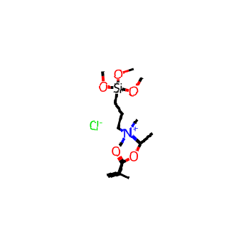 C=C(C)C(=O)OC(C)[N+](C)(C)CCC[Si](OC)(OC)OC.[Cl-]